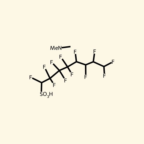 CNC.O=S(=O)(O)C(F)C(F)(F)C(F)(F)C(F)(F)C(F)C(F)C(F)C(F)F